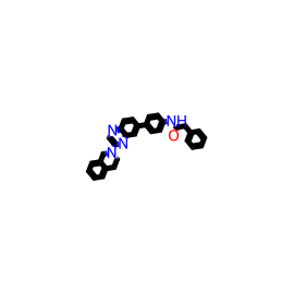 O=C(Cc1ccccc1)Nc1ccc(-c2ccc3ncc(N4CCc5ccccc5C4)nc3c2)cc1